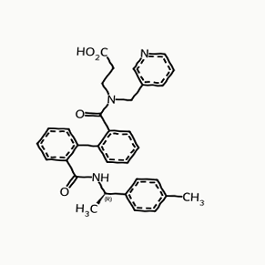 Cc1ccc([C@@H](C)NC(=O)c2ccccc2-c2ccccc2C(=O)N(CCC(=O)O)Cc2cccnc2)cc1